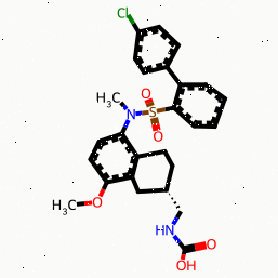 COc1ccc(N(C)S(=O)(=O)c2ccccc2-c2ccc(Cl)cc2)c2c1C[C@@H](CNC(=O)O)CC2